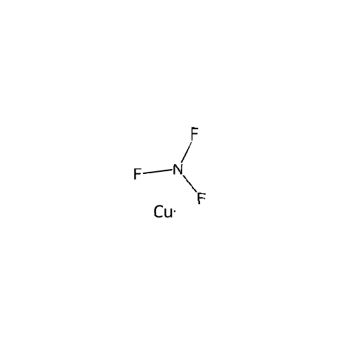 FN(F)F.[Cu]